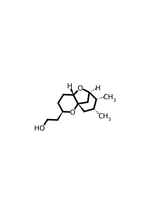 C[C@@H]1[C@H](C)C[C@]23C[C@H]1O[C@H]2CC[C@H](CCO)O3